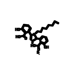 CCCCCCCCN1C(c2cccc(O)c2C(=O)O)=CN(C)C1c1cccc(O)c1C(=O)O.[B]